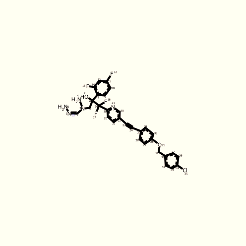 N/N=C\N(N)CC(O)(c1ccc(F)cc1F)C(F)(F)c1ccc(C#Cc2ccc(OCc3ccc(Cl)cc3)cc2)cn1